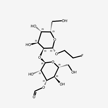 O=CO[C@@H]1[C@H](O)[C@@H](O[C@@H]2[C@@H](OCCF)O[C@@H](CO)[C@@H](O)[C@@H]2O)O[C@H](CO)[C@H]1O